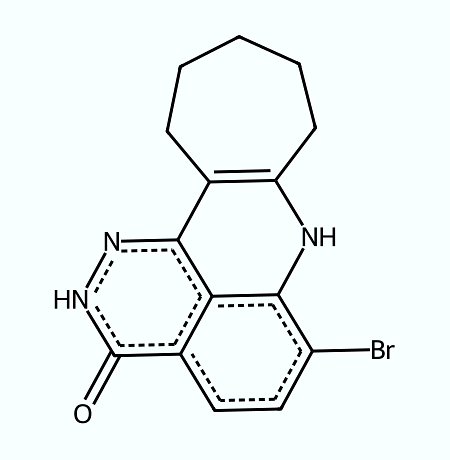 O=c1[nH]nc2c3c(c(Br)ccc13)NC1=C2CCCCC1